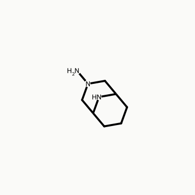 NN1CC2CCCC(C1)N2